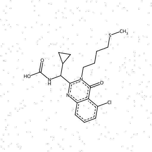 CSCCCCn1c(C(NC(=O)O)C2CC2)nc2cccc(Cl)c2c1=O